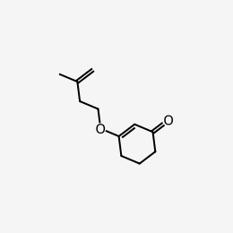 C=C(C)CCOC1=CC(=O)CCC1